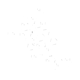 CC[C@H](C)[C@H](NC(=O)[C@H](CCN)NC(=O)c1ccc(-c2ccccc2)cc1)C(=O)N[C@@H](CCN)C(=O)N[C@H](Cc1ccccc1)C(=O)N[C@@H](CC(C)C)C(=O)N[C@@H](CCN)C(=O)N[C@@H](C(=O)N[C@@H](CC(C)C)C(=O)N[C@@H](CO)C(N)=O)C(C)C